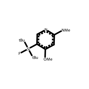 CNc1cc(OC)c([Si](F)(C(C)(C)C)C(C)(C)C)cn1